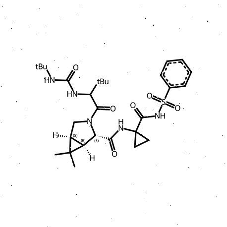 CC(C)(C)NC(=O)NC(C(=O)N1C[C@H]2[C@@H]([C@H]1C(=O)NC1(C(=O)NS(=O)(=O)c3ccccc3)CC1)C2(C)C)C(C)(C)C